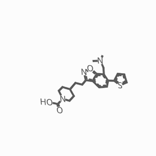 CN(C)Cc1c(-c2cccs2)ccc2c(CCC3CCN(C(=O)O)CC3)noc12